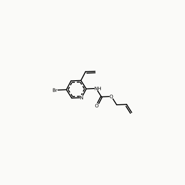 C=CCOC(=O)Nc1ncc(Br)cc1C=C